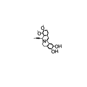 CC#CC1c2c(ccc(OC)c2OC)C=C2c3cc(O)c(O)cc3CCN21